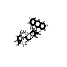 C[C@@H](CN1C[C@@H]2C[C@H]1C(=O)N2C1c2ccccc2Cc2ccccc21)C(=O)N1C2C[C@H]2C[C@H]1C#N